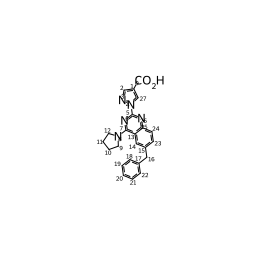 O=C(O)c1cnn(-c2nc(N3CCCC3)c3cc(Cc4ccccc4)ccc3n2)c1